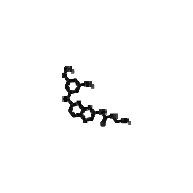 CCNC(=O)Nc1cnc2ccc(Nc3cc(N)cc(OC)c3)nc2n1